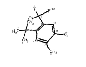 Cc1nc(C(C)(C)C)c(C(F)(F)F)cc1Br